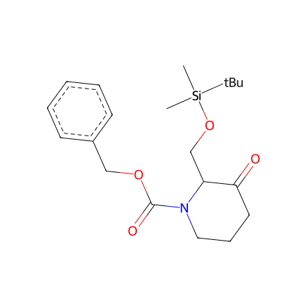 CC(C)(C)[Si](C)(C)OCC1C(=O)CCCN1C(=O)OCc1ccccc1